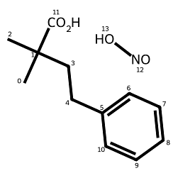 CC(C)(CCc1ccccc1)C(=O)O.O=NO